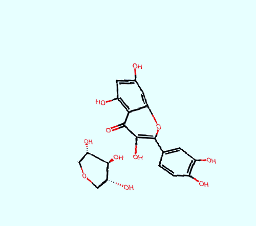 O=c1c(O)c(-c2ccc(O)c(O)c2)oc2cc(O)cc(O)c12.O[C@H]1[C@H](O)CO[CH][C@@H]1O